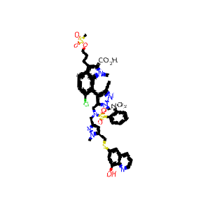 Cc1nn(C)c(CN(Cc2cc(CSc3cc(O)c4ncccc4c3)n(C)n2)S(=O)(=O)c2ccccc2[N+](=O)[O-])c1-c1c(Cl)ccc2c(CCCOS(C)(=O)=O)c(C(=O)O)n(C)c12